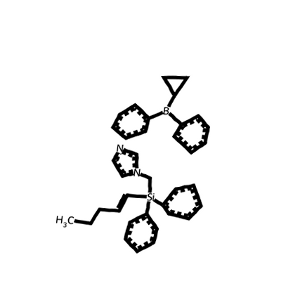 CCCC=C[Si](Cn1ccnc1)(c1ccccc1)c1ccccc1.c1ccc(B(c2ccccc2)C2CC2)cc1